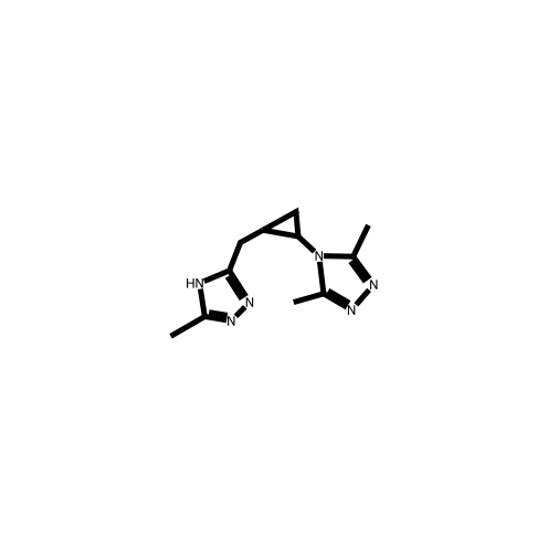 Cc1nnc(CC2CC2n2c(C)nnc2C)[nH]1